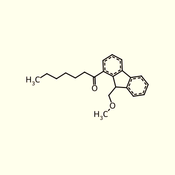 CCCCCCC(=O)c1cccc2c1C(COC)c1ccccc1-2